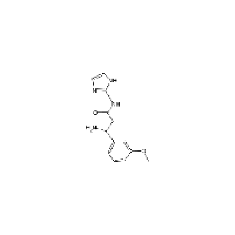 COc1cccc(C(N)CC(=O)Nc2ncc[nH]2)c1